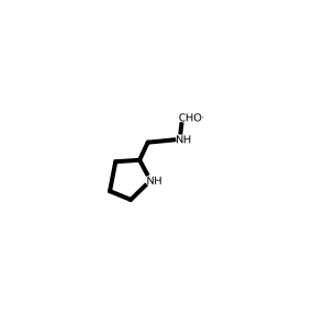 O=[C]NCC1CCCN1